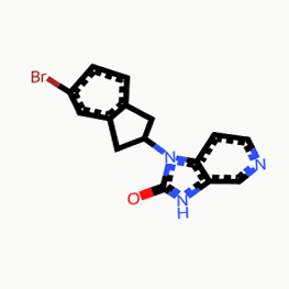 O=c1[nH]c2cnccc2n1C1Cc2ccc(Br)cc2C1